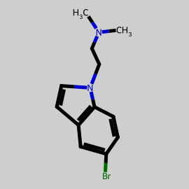 CN(C)CCn1ccc2cc(Br)ccc21